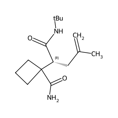 C=C(C)C[C@@H](C(=O)NC(C)(C)C)C1(C(N)=O)CCC1